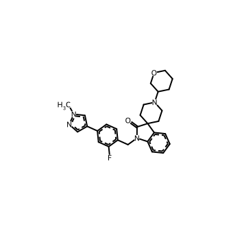 Cn1cc(-c2ccc(CN3C(=O)C4(CCN(C5CCCOC5)CC4)c4ccccc43)c(F)c2)cn1